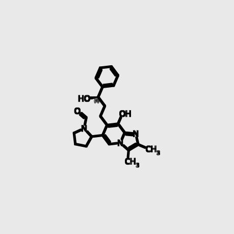 Cc1nc2c(O)c(CC[C@@H](O)c3ccccc3)c(C3CCCN3C=O)cn2c1C